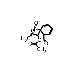 C=CC(OC(C)=O)C1([N+](=O)[O-])C=CC=CC1C=O